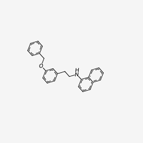 c1ccc(COc2cccc(CCNc3cccc4ccccc34)c2)cc1